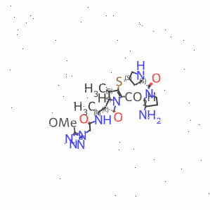 COc1nnnn1CC(=O)N[C@H](C)[C@H]1C(=O)N2C(C(=O)O)=C(S[C@@H]3CN[C@H](C(=O)N4CCC(N)C4)C3)[C@H](C)[C@H]12